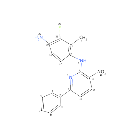 Cc1c(Nc2nc(-c3ccccc3)ccc2[N+](=O)[O-])ccc(N)c1F